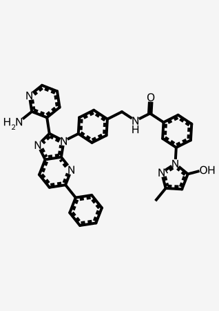 Cc1cc(O)n(-c2cccc(C(=O)NCc3ccc(-n4c(-c5cccnc5N)nc5ccc(-c6ccccc6)nc54)cc3)c2)n1